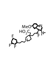 COc1ccc2ncc(N(C)C)c([C@H](F)CCC3(CC(=O)O)CCN(CCCc4cc(F)cc(F)c4F)CC3)c2c1